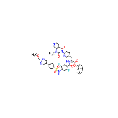 COCc1ncc(-c2ccc(S(=O)(=O)Nc3cc(F)c(C(=O)N[C@@H](Cc4ccc(-n5c(=O)c6ccncc6n(C)c5=O)nc4)C(=O)OC4C5CC6CC(C5)CC4C6)cc3F)cc2)cn1